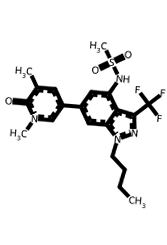 CCCCn1nc(C(F)(F)F)c2c(NS(C)(=O)=O)cc(-c3cc(C)c(=O)n(C)c3)cc21